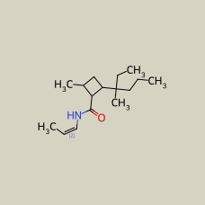 C/C=C\NC(=O)C1C(C)CC1C(C)(CC)CCC